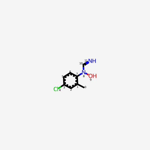 Cc1cc(Cl)ccc1N(O)C=N